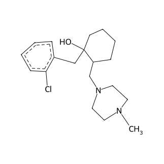 CN1CCN(CC2CCCCC2(O)Cc2ccccc2Cl)CC1